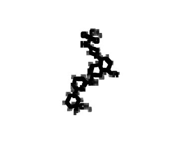 CC(C)c1ccc(N2CC(NS(C)(=O)=O)C2)c2cnc(Nc3ccnc(N4CCC[C@@](C)(F)C4)n3)cc12